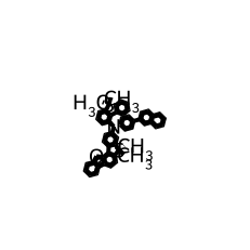 CS1(C)c2ccccc2-c2c(N(c3ccc(-c4ccc5ccccc5c4)cc3)c3ccc4c(c3)S(C)(C)c3ccc5c(oc6ccccc65)c3-4)cccc21